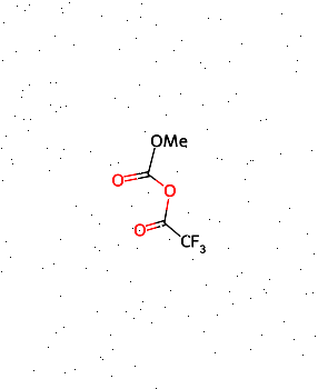 COC(=O)OC(=O)C(F)(F)F